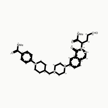 CNC(=O)c1ccc(N2CCC(CN3CCN(c4ccc5cnn(C(CCC=O)C(=O)NC)c(=O)c5c4)CC3)CC2)cc1